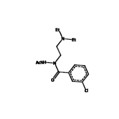 CCN(CC)CCN(NC(C)=O)C(=O)c1cccc(Cl)c1